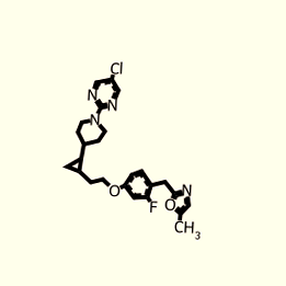 Cc1cnc(Cc2ccc(OCCC3CC3C3CCN(c4ncc(Cl)cn4)CC3)cc2F)o1